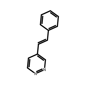 C(=C\c1ccnnc1)/c1ccccc1